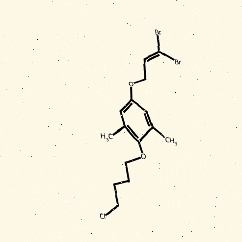 Cc1cc(OCC=C(Br)Br)cc(C)c1OCCCCCl